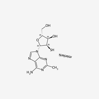 Cc1nc(N)c2ncn([C@@H]3O[C@H](CO)[C@@H](O)[C@H]3S)c2n1.[Na].[Na].[Na]